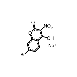 O=c1oc2cc(Br)ccc2c(O)c1[N+](=O)[O-].[Na+]